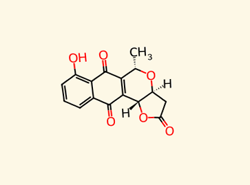 C[C@@H]1O[C@H]2CC(=O)O[C@@H]2C2=C1C(=O)c1c(O)cccc1C2=O